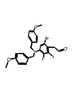 COc1ccc(CN(Cc2ccc(OC)cc2)c2cc(Br)c(CC=O)c(F)c2F)cc1